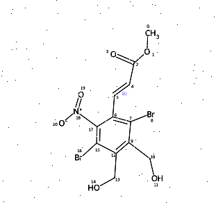 COC(=O)/C=C/c1c(Br)c(CO)c(CO)c(Br)c1[N+](=O)[O-]